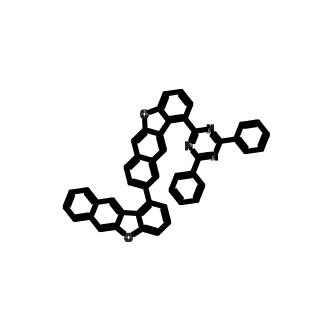 c1ccc(-c2nc(-c3ccccc3)nc(-c3cccc4oc5cc6ccc(-c7cccc8oc9cc%10ccccc%10cc9c78)cc6cc5c34)n2)cc1